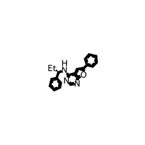 CC[C@@H](Nc1ncnc2oc(-c3ccccc3)cc12)c1ccccc1